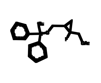 CC(=O)OCC1(F)CC1CO[Si](c1ccccc1)(c1ccccc1)C(C)(C)C